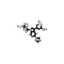 CCC(=CC(=O)O)c1cn(C(=O)OC(C)(C)C)c2cnc(-n3cncn3)cc12